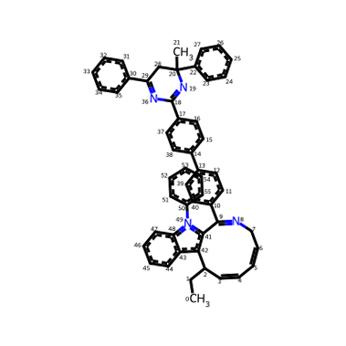 CCC1/C=C\C=C/C/N=C(/c2ccc(-c3ccc(C4=NC(C)(c5ccccc5)CC(c5ccccc5)=N4)cc3)cc2)c2c1c1ccccc1n2-c1ccccc1